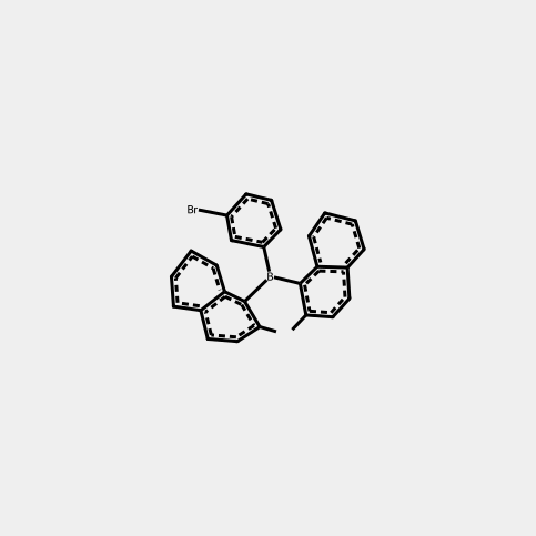 Cc1ccc2ccccc2c1B(c1cccc(Br)c1)c1c(C)ccc2ccccc12